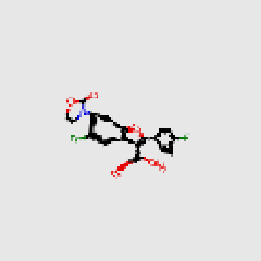 O=C(O)c1c(-c2ccc(F)cc2)oc2cc(N3CCOC3=O)c(Br)cc12